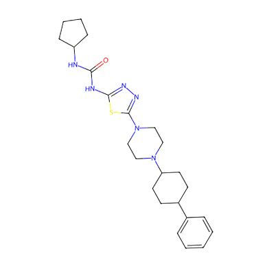 O=C(Nc1nnc(N2CCN(C3CCC(c4ccccc4)CC3)CC2)s1)NC1CCCC1